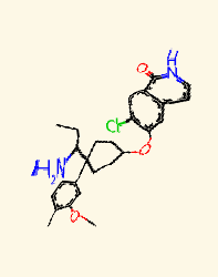 CCC(N)C1(c2ccc(C)c(OC)c2)CCC(Oc2cc3cc[nH]c(=O)c3cc2Cl)CC1